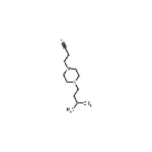 CC(C)CCN1CCN(CCC#N)CC1